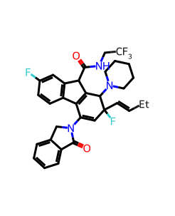 CCC=CC1(F)C=C(N2Cc3ccccc3C2=O)C2=C(C(C(=O)NCC(F)(F)F)c3cc(F)ccc32)C1N1CCCCC1